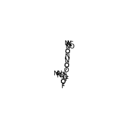 CCn1ncn(-c2ccc(N3CCN(c4ccc(OC[C@@H]5CO[C@@](Cn6cncn6)(c6ccc(F)cc6F)O5)cc4)CC3)cc2)c1=O